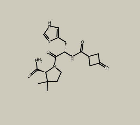 CC1(C)CCN(C(=O)[C@H](Cc2c[nH]cn2)NC(=O)C2CC(=O)C2)[C@@H]1C(N)=O